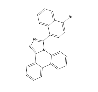 Brc1ccc(-c2nnc3c4ccccc4c4ccccc4n23)c2ccccc12